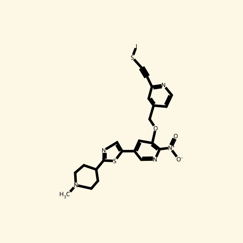 CN1CCC(c2ncc(-c3cnc([N+](=O)[O-])c(OCc4ccnc(C#CSI)c4)c3)s2)CC1